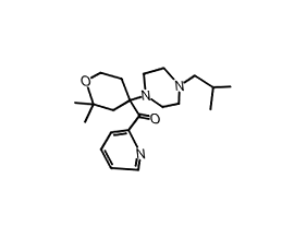 CC(C)CN1CCN(C2(C(=O)c3ccccn3)CCOC(C)(C)C2)CC1